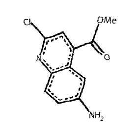 COC(=O)c1cc(Cl)nc2ccc(N)cc12